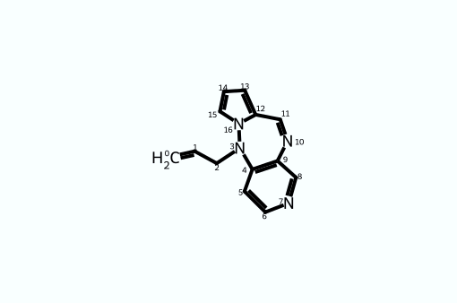 C=CCN1c2ccncc2N=Cc2cccn21